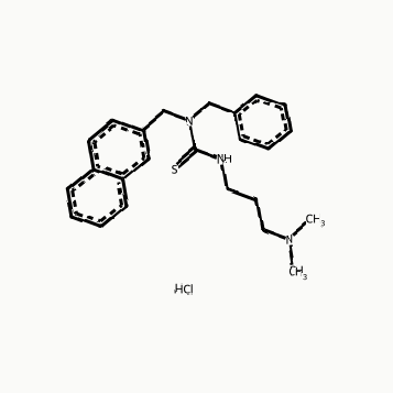 CN(C)CCCNC(=S)N(Cc1ccccc1)Cc1ccc2ccccc2c1.Cl